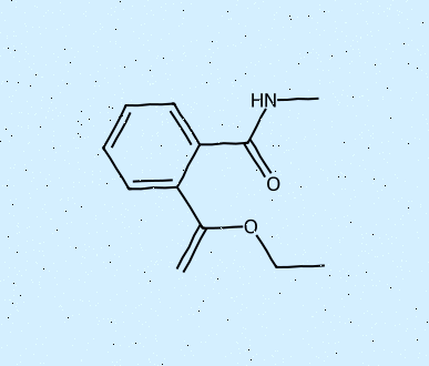 C=C(OCC)c1ccccc1C(=O)NC